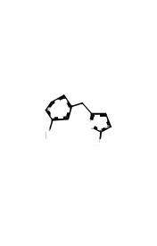 CC(=O)c1ccc(Cc2cccc(F)c2)s1